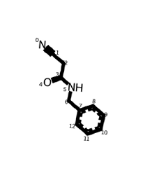 N#C[CH]C(=O)NCc1ccccc1